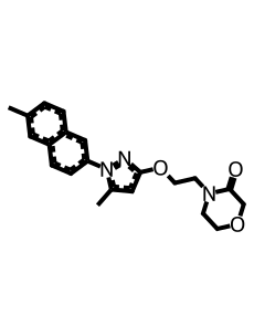 Cc1ccc2cc(-n3nc(OCCN4CCOCC4=O)cc3C)ccc2c1